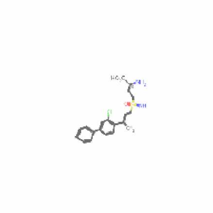 N=S(=O)(CCC(c1ccc(-c2ccccc2)cc1Cl)C(F)(F)F)CC[C@H](N)C(=O)O